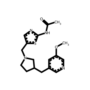 COc1cncc(CC2CCN(Cc3cnc(NC(C)=O)s3)C2)c1